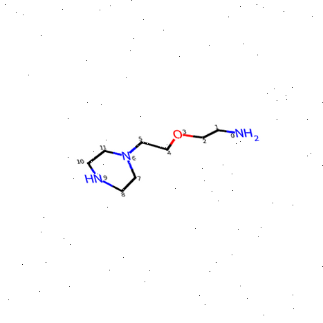 NCCOCCN1CCNCC1